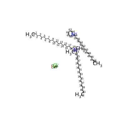 CCCCCCCCCCCCCCCCCCCC[N+](C)(C)CCCCCCCCCCCCCCCCCCCC.CCCCCCCCCCCCCCCC[n+]1ccccc1.[Br-].[Cl-]